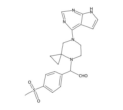 CS(=O)(=O)c1ccc(C(C=O)N2CCN(c3ncnc4[nH]ccc34)CC23CC3)cc1